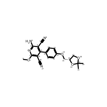 COc1nc(N)c(C#N)c(-c2ccc(OC[C@@H]3COC(C)(C)O3)cc2)c1C#N